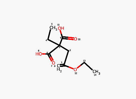 C=C(CC(CC)(C(=O)O)C(=O)O)OCC